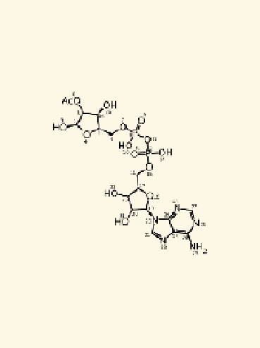 CC(=O)OC1[C@H](O)O[C@H](COP(=O)(O)OP(=O)(O)OC[C@H]2O[C@@H](n3cnc4c(N)ncnc43)C(O)C2O)[C@@H]1O